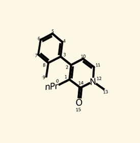 CCCc1c(-c2ccccc2C)ccn(C)c1=O